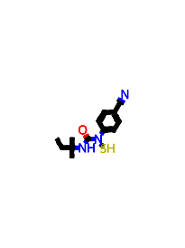 CCC(C)(C)NC(=O)N(S)c1ccc(C#N)cc1